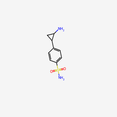 NC1CC1c1ccc(S(N)(=O)=O)cc1